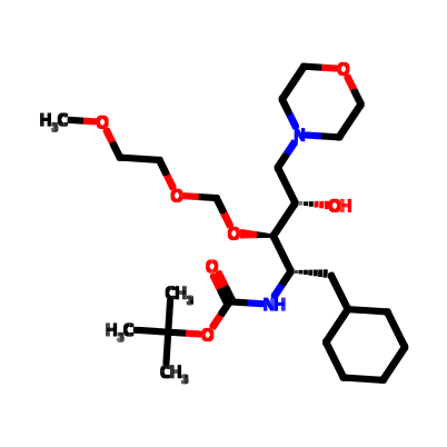 COCCOCO[C@H]([C@H](CC1CCCCC1)NC(=O)OC(C)(C)C)[C@@H](O)CN1CCOCC1